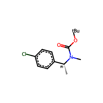 C[C@H](c1ccc(Cl)cc1)N(C)C(=O)OC(C)(C)C